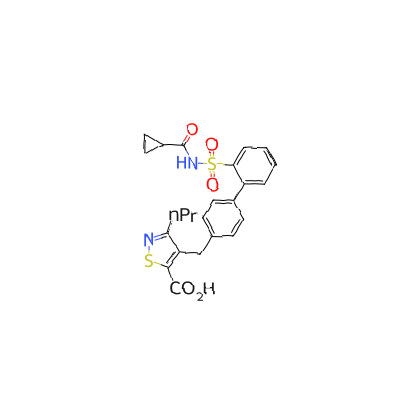 CCCc1nsc(C(=O)O)c1Cc1ccc(-c2ccccc2S(=O)(=O)NC(=O)C2CC2)cc1